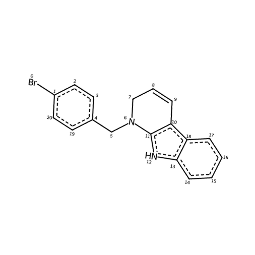 Brc1ccc(CN2CC=Cc3c2[nH]c2ccccc32)cc1